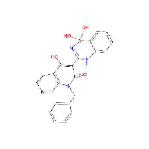 O=c1c(C2=NS(O)(O)c3ccccc3N2)c(O)c2ccncc2n1Cc1ccccc1